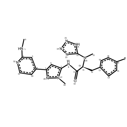 CNc1cc(-c2cc(NC(=O)[C@H](Cc3ccc(F)cc3)N(C)c3nnn[nH]3)n(C)n2)ccn1